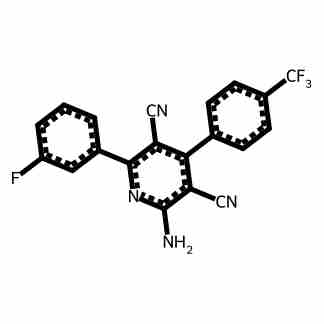 N#Cc1c(N)nc(-c2cccc(F)c2)c(C#N)c1-c1ccc(C(F)(F)F)cc1